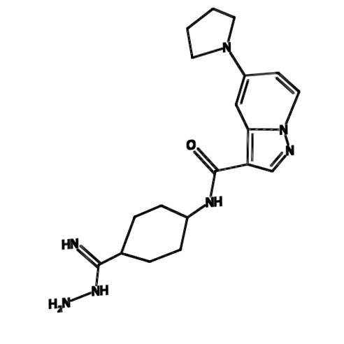 N=C(NN)C1CCC(NC(=O)c2cnn3ccc(N4CCCC4)cc23)CC1